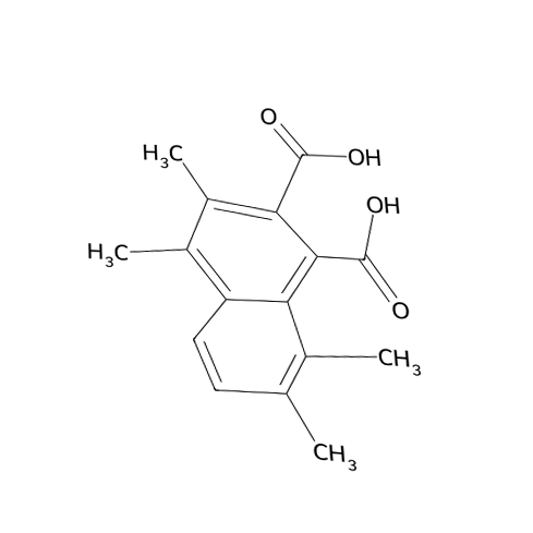 Cc1ccc2c(C)c(C)c(C(=O)O)c(C(=O)O)c2c1C